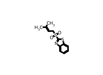 CC(C)=CCS(=O)(=O)c1nc2ccccc2s1